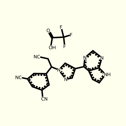 N#CCC(c1cc(C#N)cc(C#N)c1)n1cc(-c2ncnc3[nH]ccc23)cn1.O=C(O)C(F)(F)F